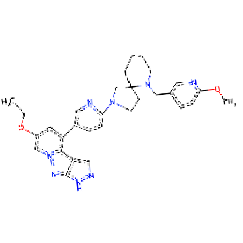 CCOc1cc(-c2ccc(N3CCC4(CCCCN4Cc4ccc(OC)nc4)C3)nc2)c2c3cn[nH]c3nn2c1